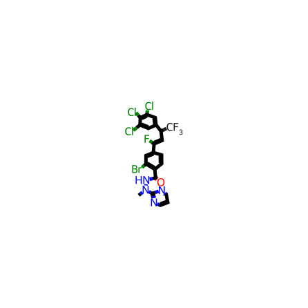 CN(NC(=O)c1ccc(C(F)=CC(c2cc(Cl)c(Cl)c(Cl)c2)C(F)(F)F)cc1Br)c1ncccn1